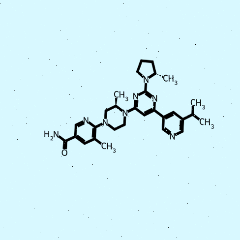 Cc1cc(C(N)=O)cnc1N1CCN(c2cc(-c3cncc(C(C)C)c3)nc(N3CCC[C@@H]3C)n2)[C@H](C)C1